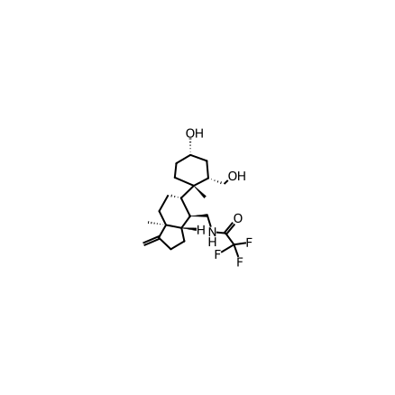 C=C1CC[C@H]2[C@H](CNC(=O)C(F)(F)F)[C@@H]([C@]3(C)CC[C@H](O)C[C@@H]3CO)CC[C@]12C